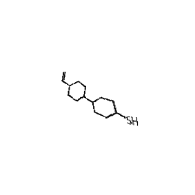 C=CC1CCC(C2CCC(S)CC2)CC1